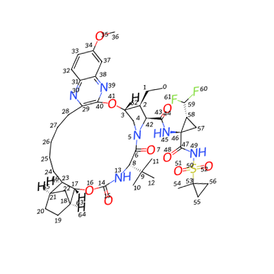 CC[C@@H]1[C@@H]2CN(C(=O)[C@H](C(C)(C)C)NC(=O)O[C@@H]3[C@H]4CC[C@H](C4)[C@H]3CCCCCc3nc4ccc(OC)cc4nc3O2)[C@@H]1C(=O)N[C@]1(C(=O)NS(=O)(=O)C2(C)CC2)C[C@H]1C(F)F